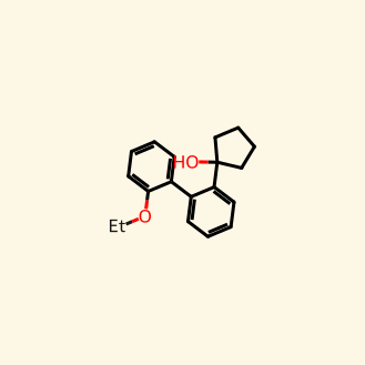 CCOc1ccccc1-c1ccccc1C1(O)CCCC1